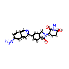 Nc1ccc2cnc(-c3ccc4c(c3)CN(C3CCC(=O)NC3=O)C4=O)cc2c1